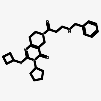 O=C(CCNCc1ccccc1)N1CCc2nc(SC3CCC3)n(C3CCCC3)c(=O)c2C1